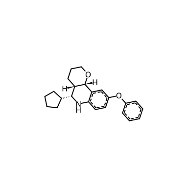 c1ccc(Oc2ccc3c(c2)[C@H]2OCCC[C@H]2[C@@H](C2CCCC2)N3)cc1